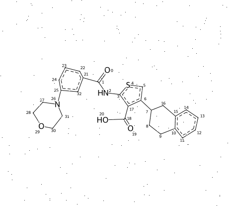 O=C(Nc1scc(C2CCc3ccccc3C2)c1C(=O)O)c1cccc(N2CCOCC2)c1